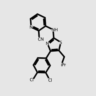 CC(C)Cc1sc(Nc2cccnc2C#N)nc1-c1ccc(Cl)c(Cl)c1